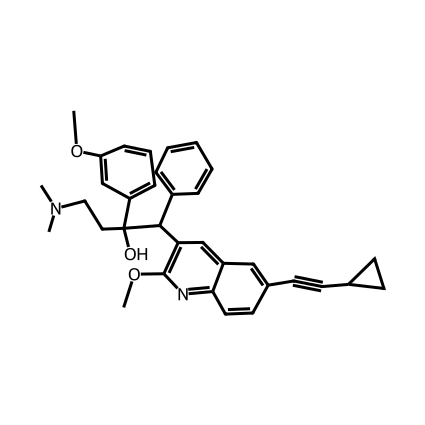 COc1cccc(C(O)(CCN(C)C)C(c2ccccc2)c2cc3cc(C#CC4CC4)ccc3nc2OC)c1